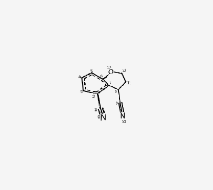 N#Cc1cccc2c1C(C#N)CCO2